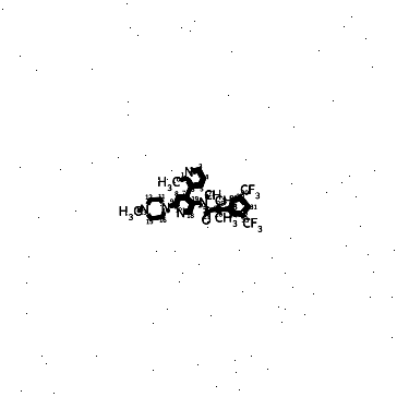 Cc1ncccc1-c1cc(N2CCN(C)CC2)ncc1N(C)C(=O)C(C)(C)c1cc(C(F)(F)F)cc(C(F)(F)F)c1